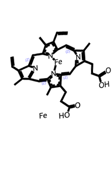 C=CC1=C(C)C2=NC/1=C\c1c(C)c(C=C)c3[n]1[Fe][n]1/c(c(C)c(CCC(=O)O)/c1=C/C1=NC(=C\3)/C(C)=C1CCC(=O)O)=C\2.[Fe]